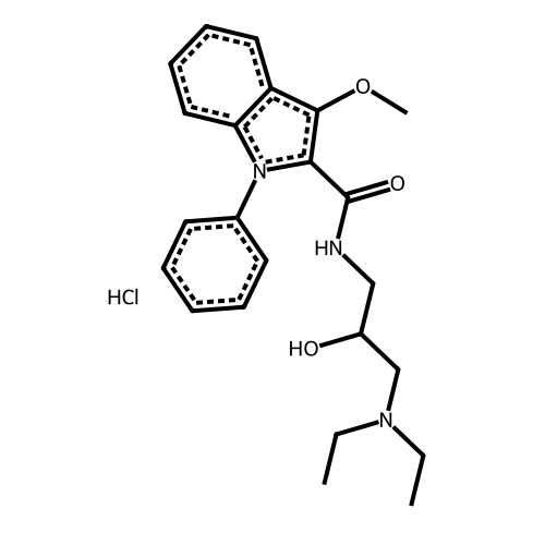 CCN(CC)CC(O)CNC(=O)c1c(OC)c2ccccc2n1-c1ccccc1.Cl